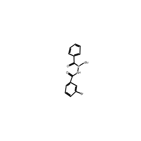 CC(C)(C)N(NC(=O)c1cccc(Br)c1)C(=O)c1ccccc1